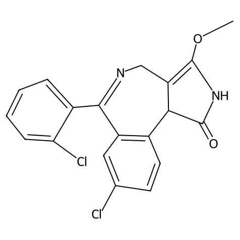 COC1=C2CN=C(c3ccccc3Cl)c3cc(Cl)ccc3C2C(=O)N1